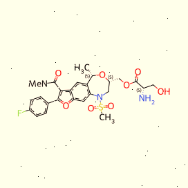 CNC(=O)c1c(-c2ccc(F)cc2)oc2cc3c(cc12)[C@H](C)O[C@H](COC(=O)[C@@H](N)CO)CN3S(C)(=O)=O